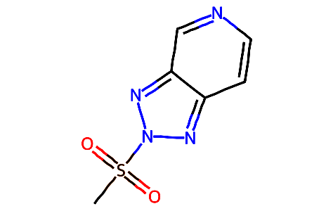 CS(=O)(=O)n1nc2ccncc2n1